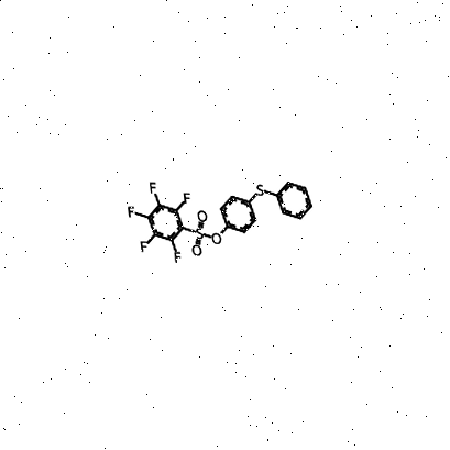 O=S(=O)(Oc1ccc(Sc2ccccc2)cc1)c1c(F)c(F)c(F)c(F)c1F